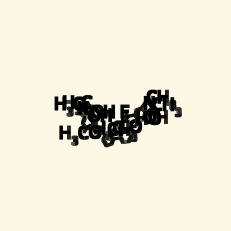 Cc1cc(CN(C)C(C)(CO)CO)ccc1OCc1cccc(-c2cccc(COc3ccc(CN(C)C(C)(CO)CO)cc3C(F)F)c2C)c1C